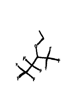 CCO[C](C(F)(F)F)C(F)(F)C(F)(F)F